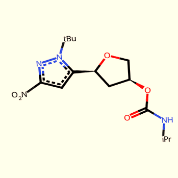 CC(C)NC(=O)O[C@@H]1CO[C@H](c2cc([N+](=O)[O-])nn2C(C)(C)C)C1